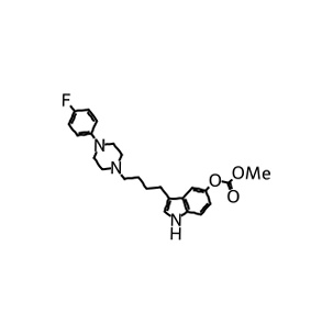 COC(=O)Oc1ccc2[nH]cc(CCCCN3CCN(c4ccc(F)cc4)CC3)c2c1